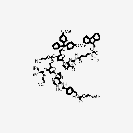 COc1ccc(C(OCC2OC(n3cnc4c(=O)[nH]c(NC(=O)CCCN(C)C(=O)OCC5c6ccccc6-c6ccccc65)nc43)CC2OP(OCCC#N)OCC2OC(n3cnc4c3N=CNC4NC(=O)c3ccc(CNC(=O)OCCSC)cc3)CC2OP(OCCC#N)N(C(C)C)C(C)C)(c2ccccc2)c2ccc(OC)cc2)cc1